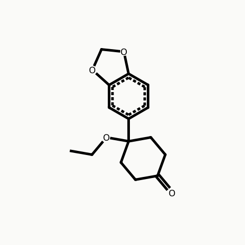 CCOC1(c2ccc3c(c2)OCO3)CCC(=O)CC1